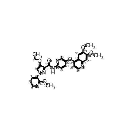 CCOc1cn(-c2cncnc2OC)nc1C(=O)Nc1ccc(Oc2ccnc3cc(OC)c(OC)cc23)cn1